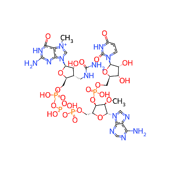 CO[C@@H]1[C@H](OP(=O)(O)OC[C@H]2O[C@@H](n3ccc(=O)[nH]c3=O)[C@H](O)[C@@H]2O)[C@@H](COP(=O)(O)OP(=O)(O)OP(=O)(O)OC[C@H]2O[C@@H](n3c[n+](C)c4c(=O)[nH]c(N)nc43)[C@H](O)[C@@H]2CNC(N)=O)O[C@H]1n1cnc2c(N)ncnc21